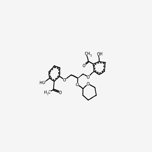 CC(=O)c1c(O)cccc1OCC(COc1cccc(O)c1C(C)=O)OC1CCCCO1